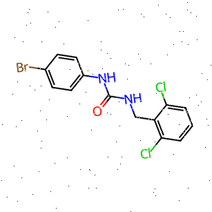 O=C(NCc1c(Cl)cccc1Cl)Nc1ccc(Br)cc1